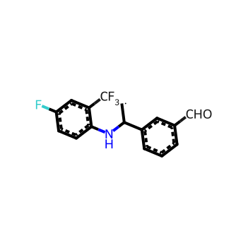 [CH2]C(Nc1ccc(F)cc1C(F)(F)F)c1cccc(C=O)c1